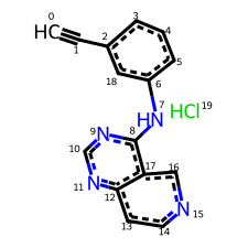 C#Cc1cccc(Nc2ncnc3ccncc23)c1.Cl